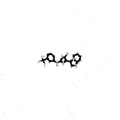 Fc1sc(Nc2cccc(C(F)(F)F)c2)nc1-c1cnc2ccccn12